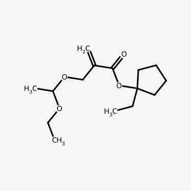 C=C(COC(C)OCC)C(=O)OC1(CC)CCCC1